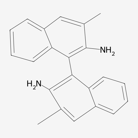 Cc1cc2ccccc2c(-c2c(N)c(C)cc3ccccc23)c1N